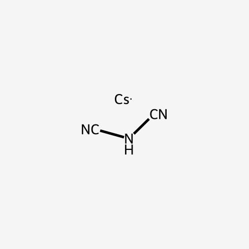 N#CNC#N.[Cs]